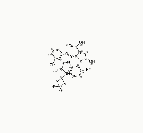 O=C(NC1CC(F)(F)C1)C(c1ccccc1Cl)N(C(=O)C1CC(O)CN1C(=O)O)c1cccc(F)c1